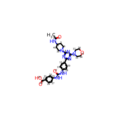 CC(=O)NC1CCN(c2nc(-c3ccc(NC(=O)Nc4ccc(C(=O)O)cc4)cc3)nc(N3CCOCC3)n2)CC1